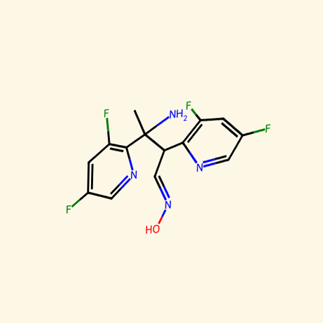 CC(N)(c1ncc(F)cc1F)C(C=NO)c1ncc(F)cc1F